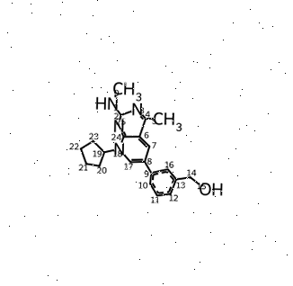 CNC1N=C(C)C2=CC(c3cccc(CO)c3)=CN(C3CCCC3)C2=N1